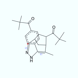 C/C1=C(/c2ccc(C(=O)C(C)(C)C)cc2)N/N=C\C2CC(C(=O)C(C)(C)C)C1C2